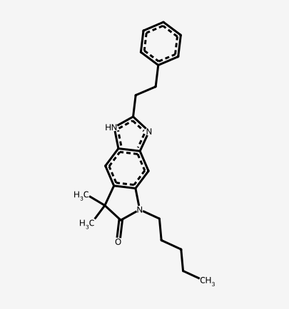 CCCCCN1C(=O)C(C)(C)c2cc3[nH]c(CCc4ccccc4)nc3cc21